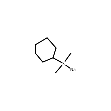 C[Si](C)([Na])C1CCCCC1